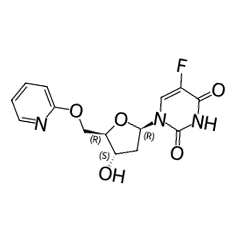 O=c1[nH]c(=O)n([C@H]2C[C@H](O)[C@@H](COc3ccccn3)O2)cc1F